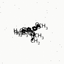 C=CCN1C[C@H](C)N([C@H](c2ccc(C(=O)OC)cc2)c2cccc(O[Si](C)(C)C(C)(C)C)c2)C[C@H]1C